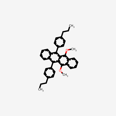 CCCc1ccc(-c2c3ccccc3c(-c3ccc(CCC)cc3)c3c(OC)c4ccccc4c(OC)c23)cc1